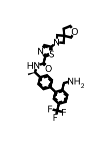 C[C@@H](NC(=O)c1ncc(N2CC3(CCOC3)C2)s1)c1ccc(-c2cc(C(F)(F)F)ccc2CN)cc1